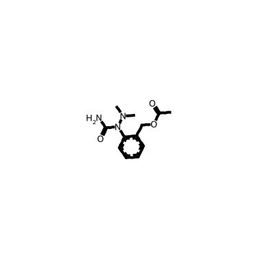 CC(=O)OCc1ccccc1N(C(N)=O)N(C)C